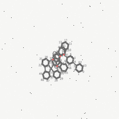 c1ccc(-c2ccc(N(c3ccccc3)c3ccc(-c4cccc5c4C4(c6ccccc6-c6cc7c(cc64)oc4ccccc47)c4ccccc4-5)c4oc5ccccc5c34)cc2)cc1